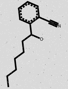 CCCCCCC([O])c1ccccc1C#N